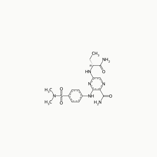 CC[C@@H](Nc1cnc(C(N)=O)c(Nc2ccc(S(=O)(=O)N(C)C)cc2)n1)C(N)=O